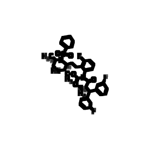 COC(=O)N(C(=O)[C@@H](N)C(c1cccc(F)c1)c1cccc(F)c1)c1cccc(F)c1CC[C@H]1CNC[C@@H](C)N1S(=O)(=O)c1ccccc1